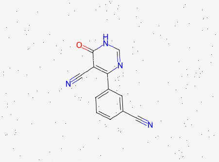 N#Cc1cccc(-c2nc[nH]c(=O)c2C#N)c1